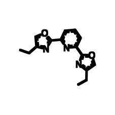 CCc1coc(-c2cccc(-c3nc(CC)co3)n2)n1